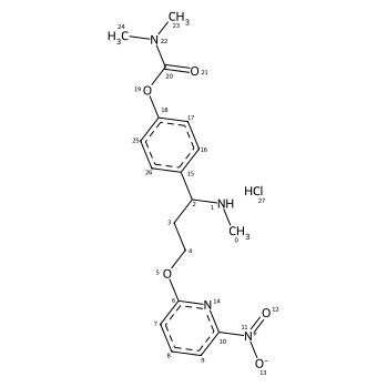 CNC(CCOc1cccc([N+](=O)[O-])n1)c1ccc(OC(=O)N(C)C)cc1.Cl